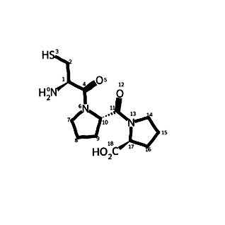 N[C@@H](CS)C(=O)N1CCC[C@H]1C(=O)N1CCC[C@H]1C(=O)O